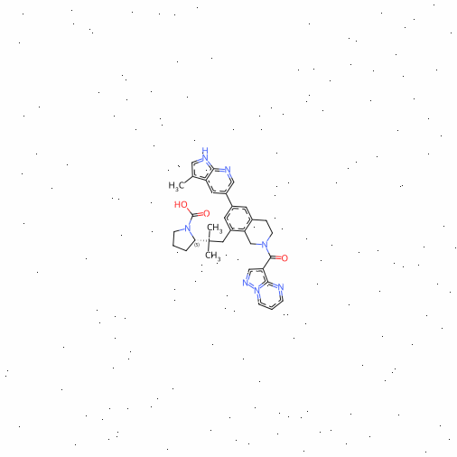 Cc1c[nH]c2ncc(-c3cc4c(c(CC(C)(C)[C@@H]5CCCN5C(=O)O)c3)CN(C(=O)c3cnn5cccnc35)CC4)cc12